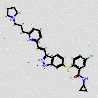 O=C(NC1CC1)c1cc(F)ccc1Sc1ccc2c(/C=C/c3cccc(CCCN4CCCC4)n3)n[nH]c2c1